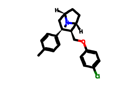 Cc1ccc([C@@H]2C[C@H]3CC[C@H]([C@H]2COc2ccc(Cl)cc2)N3C)cc1